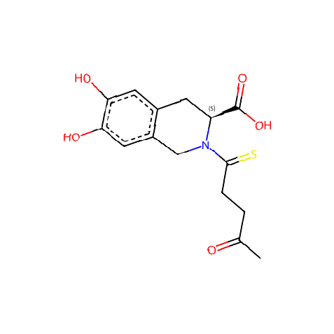 CC(=O)CCC(=S)N1Cc2cc(O)c(O)cc2C[C@H]1C(=O)O